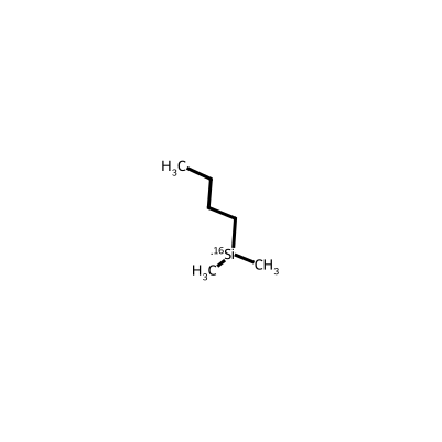 CCCC[16Si](C)C